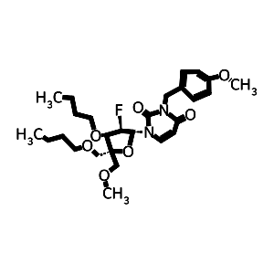 CCCCOC[C@@]1(COC)O[C@@H](n2ccc(=O)n(Cc3ccc(OC)cc3)c2=O)[C@H](F)[C@@H]1OCCCC